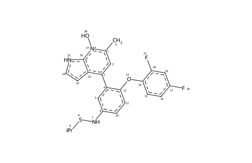 Cc1cc(-c2cc(NSC(C)C)ccc2Oc2ccc(F)cc2F)c2cc[nH]c2[n+]1O